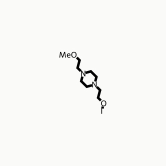 COCCN1CCN(CCOI)CC1